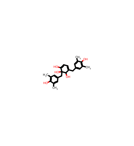 Cc1cc(CC2=CC=C(O)C(O)(Cc3cc(C)c(O)c(C)c3)C2O)cc(C)c1O